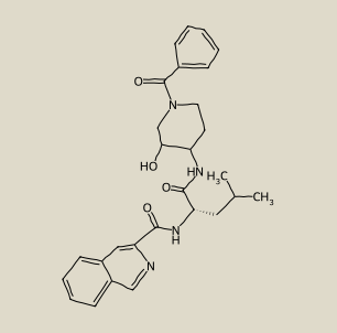 CC(C)C[C@H](NC(=O)c1cc2ccccc2cn1)C(=O)NC1CCN(C(=O)c2ccccc2)CC1O